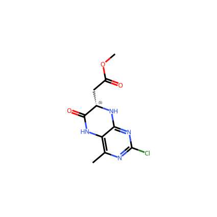 COC(=O)C[C@@H]1Nc2nc(Cl)nc(C)c2NC1=O